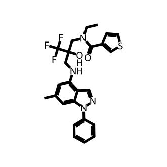 CCN(CC(O)(CNc1cc(C)cc2c1cnn2-c1ccccc1)C(F)(F)F)C(=O)c1ccsc1